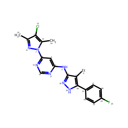 CCc1c(Nc2cc(-n3nc(C)c(Cl)c3C)ncn2)n[nH]c1-c1ccc(F)cc1